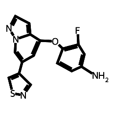 Nc1ccc(Oc2cc(-c3cnsc3)cn3nccc23)c(F)c1